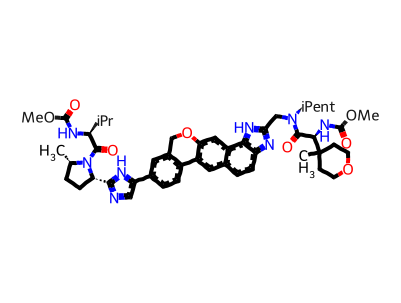 CCC[C@H](C)N(Cc1nc2ccc3cc4c(cc3c2[nH]1)OCc1cc(-c2cnc([C@@H]3CC[C@H](C)N3C(=O)[C@@H](NC(=O)OC)C(C)C)[nH]2)ccc1-4)C(=O)[C@@H](NC(=O)OC)C1(C)CCOCC1